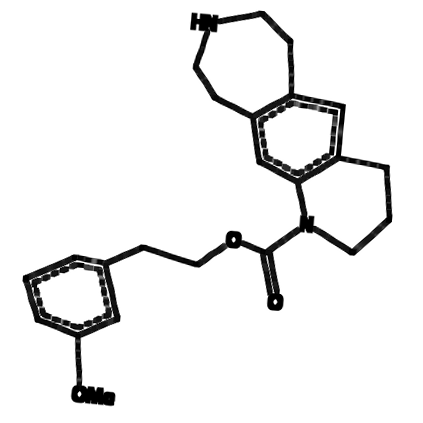 COc1cccc(CCOC(=O)N2CCCc3cc4c(cc32)CCNCC4)c1